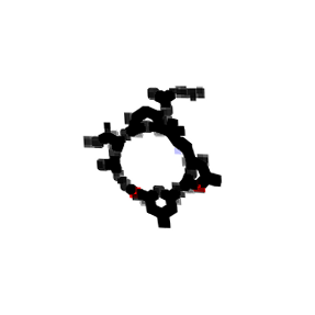 C=C1C[C@H]2CCCC(=O)O[C@@H]([C@@H](C)O)C[C@@H]3CC[C@H](OC(=O)CCCCCCC)[C@@](O)(O3)C(C)(C)/C=C/[C@H]3CC(=C)C[C@@H](C[C@@H](C1)O2)O3